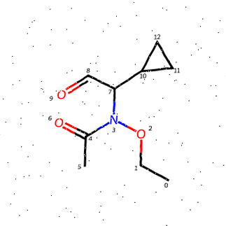 CCON(C(C)=O)C(C=O)C1CC1